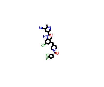 Cc1ncc(C(=O)NC2=CC(Cl)=CC(C=C3CCN(C(=O)[C@H]4CCC(F)(F)C4)CC3)C2C)cc1C#N